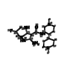 CN1CCC(C2CCN(C)CC2NC(=O)C2C(N)NN3CC(F)CNC23)CC1